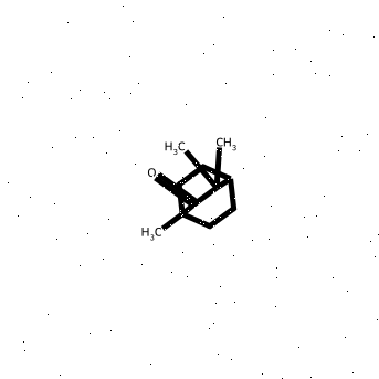 CC12CCC(CC1)C(C)(C)C2=O